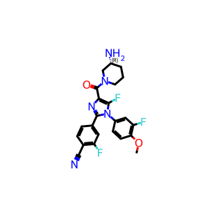 COc1ccc(-n2c(-c3ccc(C#N)c(F)c3)nc(C(=O)N3CCC[C@@H](N)C3)c2F)cc1F